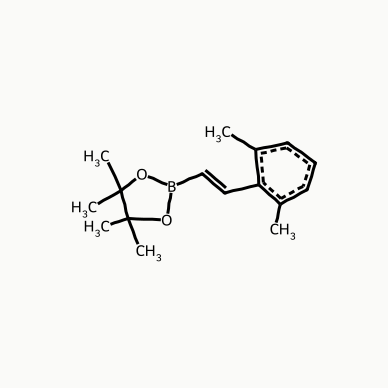 Cc1cccc(C)c1/C=C/B1OC(C)(C)C(C)(C)O1